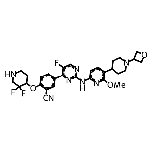 COc1nc(Nc2ncc(F)c(-c3ccc(OC4CCNCC4(F)F)c(C#N)c3)n2)ccc1C1CCN(C2COC2)CC1